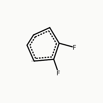 Fc1[c]cccc1F